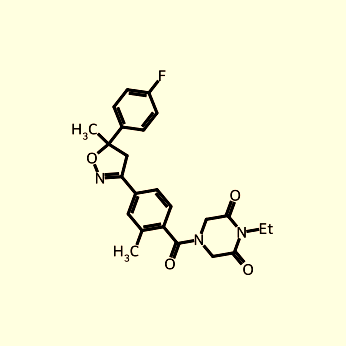 CCN1C(=O)CN(C(=O)c2ccc(C3=NOC(C)(c4ccc(F)cc4)C3)cc2C)CC1=O